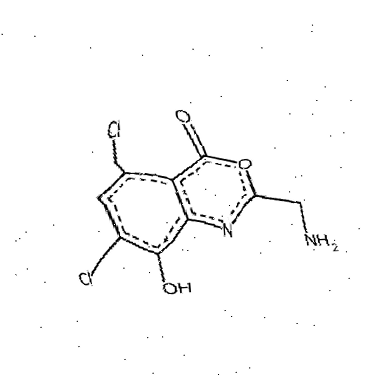 NCc1nc2c(O)c(Cl)cc(Cl)c2c(=O)o1